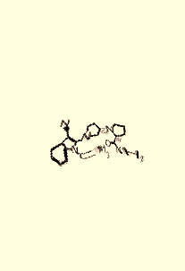 Cn1c(N2CC[C@H](N3CCC[C@H]3C(N)=O)C2)c(C#N)c2ccccc21